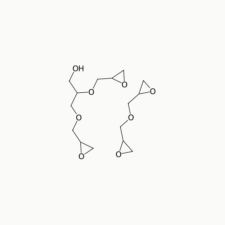 C(OCC1CO1)C1CO1.OCC(COCC1CO1)OCC1CO1